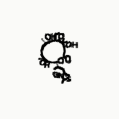 CC[C@H]1C(=O)C(C)(C)[C@@H](O)CC(=O)O[C@H](C(C)=Cc2csc(C)[n+]2[O-])C[C@@H]2O[C@]2(C)CCC[C@H](C)[C@@H]1O